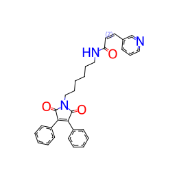 O=C(/C=C\c1cccnc1)NCCCCCCN1C(=O)C(c2ccccc2)=C(c2ccccc2)C1=O